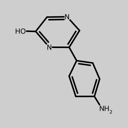 Nc1ccc(-c2cncc(O)n2)cc1